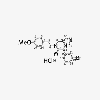 COc1ccc(CCN2Cc3cncn3C(c3cccc(Br)c3)C2=O)cc1.Cl